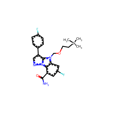 C[Si](C)(C)CCOCn1c2cc(F)cc(C(N)=O)c2n2ncc(-c3ccc(F)cc3)c12